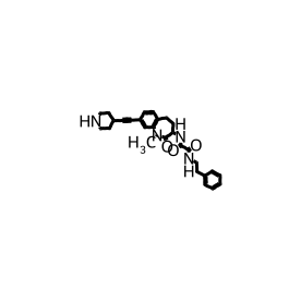 CN1C(=O)C(NC(=O)C(=O)NCCc2ccccc2)CCc2ccc(C#CC3CCNCC3)cc21